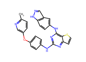 Cc1ccc(Oc2ccc(Nc3nc(Nc4ccc5[nH]ncc5c4)c4sccc4n3)cc2)cn1